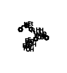 CCn1nc(Cc2ccccc2)cc1C1CCN(CC[C@H](NC(=O)NS(=O)(=O)c2ccccc2)c2ccccc2)CC1.O=C(O)C(F)(F)F.O=C(O)C(F)(F)F